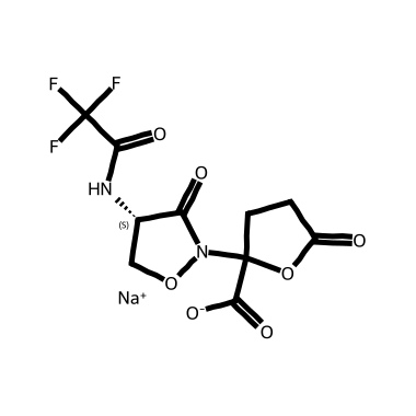 O=C1CCC(C(=O)[O-])(N2OC[C@H](NC(=O)C(F)(F)F)C2=O)O1.[Na+]